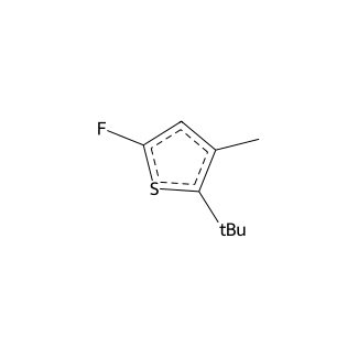 Cc1cc(F)sc1C(C)(C)C